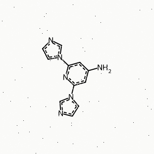 Nc1cc(-n2ccnc2)nc(-n2ccnc2)c1